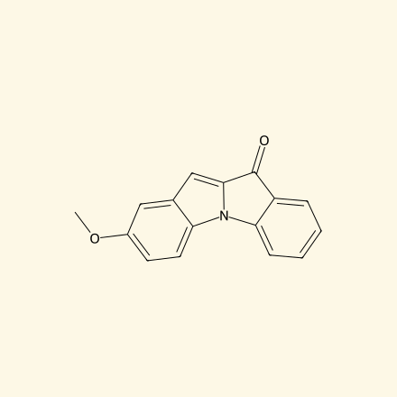 COc1ccc2c(c1)cc1n2-c2ccccc2C1=O